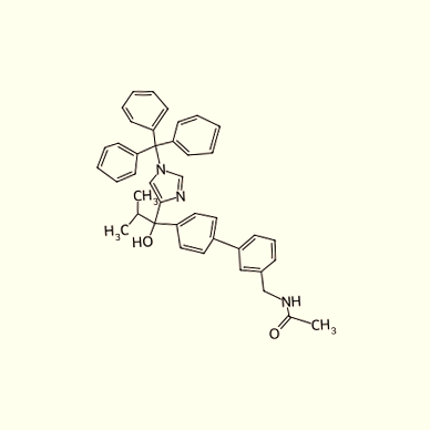 CC(=O)NCc1cccc(-c2ccc(C(O)(c3cn(C(c4ccccc4)(c4ccccc4)c4ccccc4)cn3)C(C)C)cc2)c1